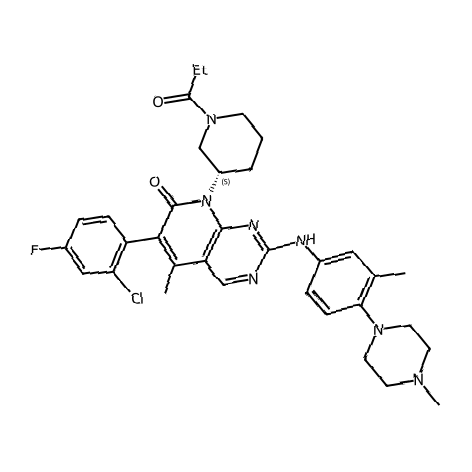 CCC(=O)N1CCC[C@H](n2c(=O)c(-c3ccc(F)cc3Cl)c(C)c3cnc(Nc4ccc(N5CCN(C)CC5)c(C)c4)nc32)C1